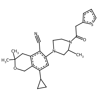 CC1CN(c2cc(C3CC3)c3c(c2C#N)CC(C)(C)OC3)CCN1C(=O)Cc1cccs1